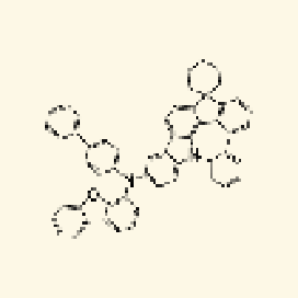 c1ccc(-c2ccc(N(c3ccc4c(c3)c3ccc5c6c3n4-c3ccccc3-c3cccc(c3-6)C53CCCCC3)c3cccc4c3oc3ccccc34)cc2)cc1